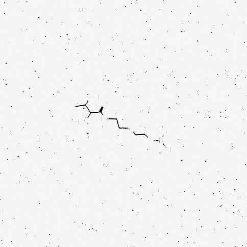 CC(O)C(N)C(=O)NCCOCCON(O)O